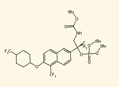 CC(C)(C)OC(=O)NC[C@](C)(OP(=O)(OC(C)(C)C)OC(C)(C)C)c1ccc2c(C(F)(F)F)c(OC3CCC(C(F)(F)F)CC3)ccc2c1